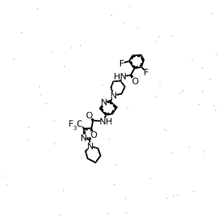 O=C(Nc1ccc(N2CCC(NC(=O)c3c(F)cccc3F)CC2)nc1)c1oc(N2CCCCC2)nc1C(F)(F)F